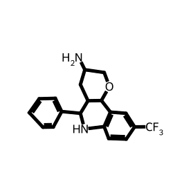 NC1COC2c3cc(C(F)(F)F)ccc3NC(c3ccccc3)C2C1